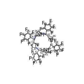 Fc1c(F)c(F)c(/C2=C3\C=CC(=N3)/C(c3c(F)c(F)c(F)c(F)c3F)=c3/cc/c([nH]3)=C(\c3c(F)c(F)c(F)c(F)c3F)C3=NC(C=C3)C(c3c(F)c(F)c(F)c(F)c3F)c3ccc2[nH]3)c(F)c1F